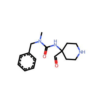 CN(Cc1ccccc1)C(=O)NC1(C=O)CCNCC1